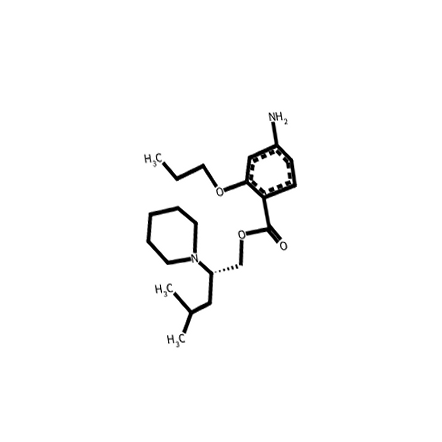 CCCOc1cc(N)ccc1C(=O)OC[C@H](CC(C)C)N1CCCCC1